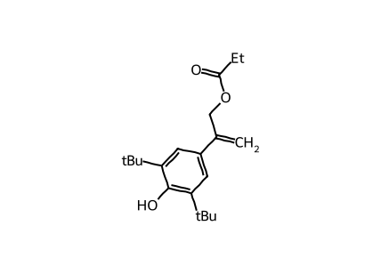 C=C(COC(=O)CC)c1cc(C(C)(C)C)c(O)c(C(C)(C)C)c1